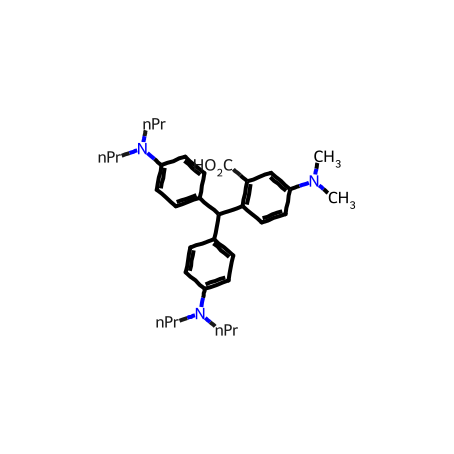 CCCN(CCC)c1ccc(C(c2ccc(N(CCC)CCC)cc2)c2ccc(N(C)C)cc2C(=O)O)cc1